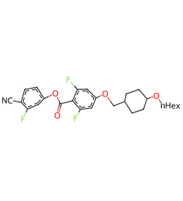 CCCCCCOC1CCC(COc2cc(F)c(C(=O)Oc3ccc(C#N)c(F)c3)c(F)c2)CC1